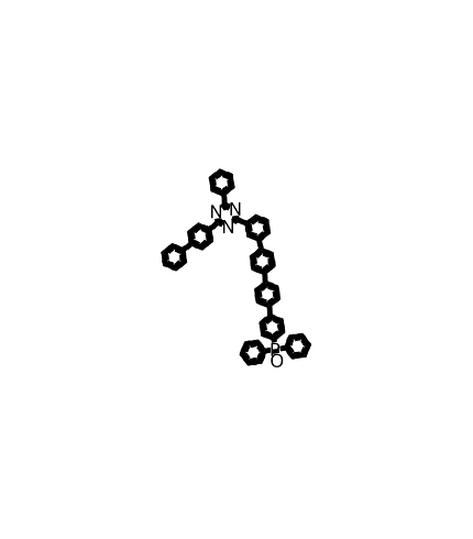 O=P(c1ccccc1)(c1ccccc1)c1ccc(-c2ccc(-c3ccc(-c4cccc(-c5nc(-c6ccccc6)nc(-c6ccc(-c7ccccc7)cc6)n5)c4)cc3)cc2)cc1